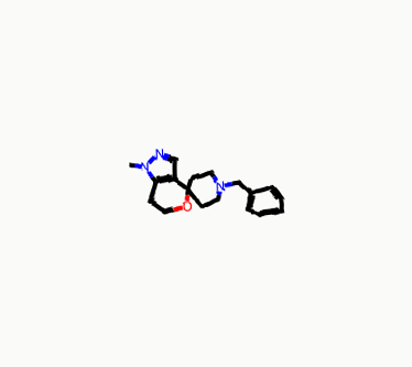 Cn1ncc2c1CCOC21CCN(Cc2ccccc2)CC1